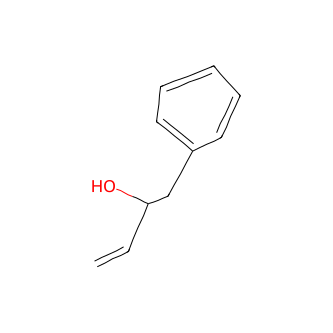 C=CC(O)Cc1ccccc1